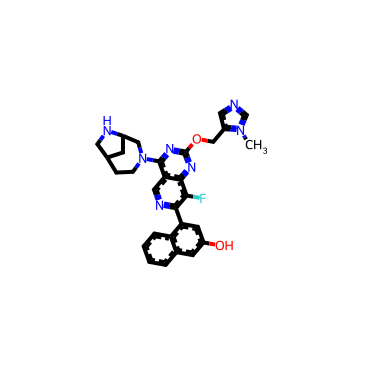 Cn1cncc1COc1nc(N2CCC3CNC(C3)C2)c2cnc(-c3cc(O)cc4ccccc34)c(F)c2n1